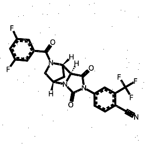 N#Cc1ccc(N2C(=O)[C@@H]3[C@@H]4C[C@@H](CN4C(=O)c4cc(F)cc(F)c4)N3C2=O)cc1C(F)(F)F